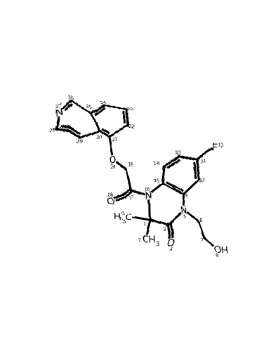 CC1(C)C(=O)N(CCO)c2cc(F)ccc2N1C(=O)COc1cccc2cnccc12